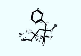 CCOC(CC(C)(C)CC(C)(C)C)(Oc1ccccc1)S(=O)(=O)[O-].[Na+]